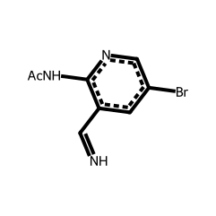 CC(=O)Nc1ncc(Br)cc1C=N